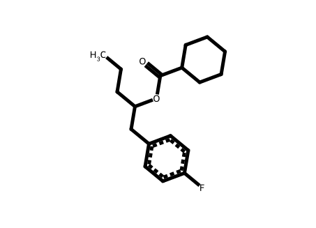 CCCC(Cc1ccc(F)cc1)OC(=O)C1CCCCC1